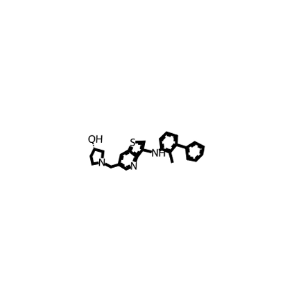 Cc1c(Nc2csc3cc(CN4CC[C@H](O)C4)cnc23)cccc1-c1ccccc1